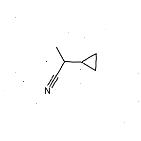 CC(C#N)C1CC1